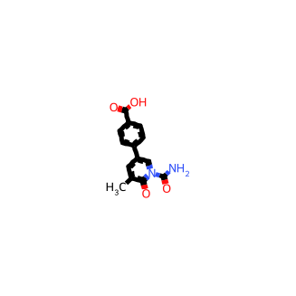 Cc1cc(-c2ccc(C(=O)O)cc2)cn(C(N)=O)c1=O